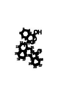 O=C(O)[C@@H]1CCCC[C@@H]1C(=O)N1CCc2ccccc2C1CN1Cc2ccccc2C1=O